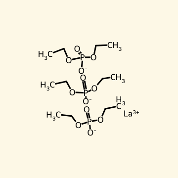 CCOP(=O)([O-])OCC.CCOP(=O)([O-])OCC.CCOP(=O)([O-])OCC.[La+3]